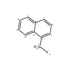 F[SiH2]c1cccc2ccccc12